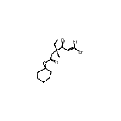 CCC(C)(CC(=O)OC1CCCCC1)C(Br)C=C(Br)Br